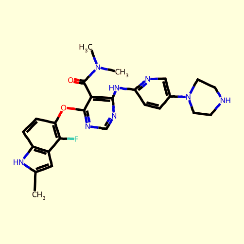 Cc1cc2c(F)c(Oc3ncnc(Nc4ccc(N5CCNCC5)cn4)c3C(=O)N(C)C)ccc2[nH]1